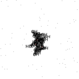 CC(=O)N(CC(O)COCC(COCC(O)CO)(COCC(O)CN(C(C)=O)c1c(I)c(C(=O)N(O)CCCO)c(I)c(C(=O)N(O)CCCO)c1I)COCC(O)CN(C(C)=O)c1c(I)c(C(=O)N(O)CCCO)c(I)c(C(=O)N(O)CCCO)c1I)c1c(I)c(C(=O)NCC(O)CO)c(I)c(C(=O)NCC(O)CO)c1I